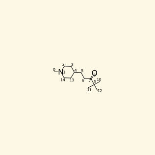 CN1CCC(CCC(=O)C(C)(C)C)CC1